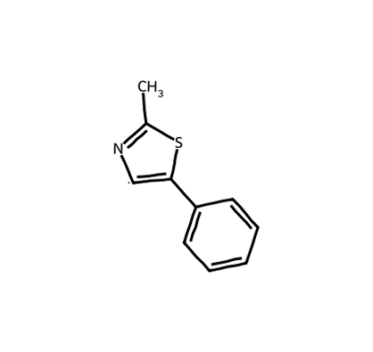 Cc1n[c]c(-c2ccccc2)s1